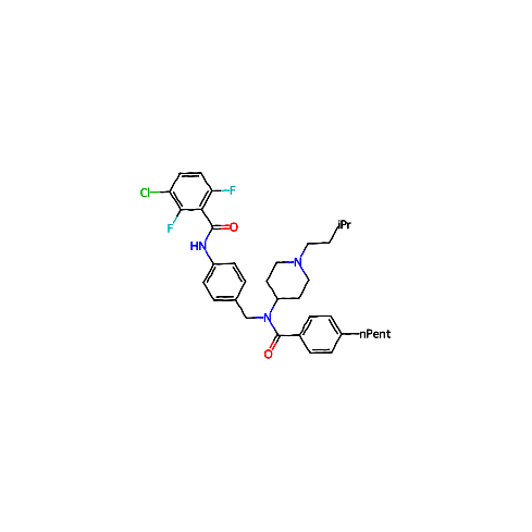 CCCCCc1ccc(C(=O)N(Cc2ccc(NC(=O)c3c(F)ccc(Cl)c3F)cc2)C2CCN(CCC(C)C)CC2)cc1